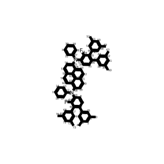 Cc1cc(C)cc(-c2ccc(N(c3ccccc3)c3ccc4ccc5c(N(c6ccccc6)c6ccc(-c7cc(C)cc(C)c7)c(-c7cc(C)cc(C)c7)c6F)ccc6ccc3c4c65)c(F)c2-c2cc(C)cc(C)c2)c1